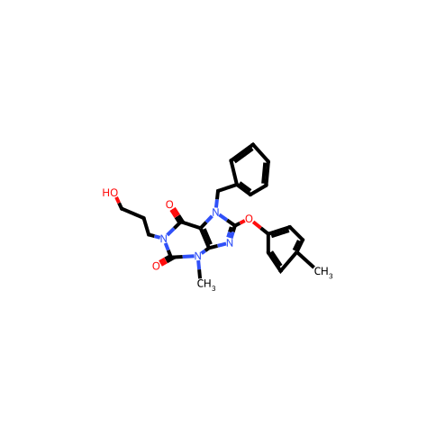 Cc1ccc(Oc2nc3c(c(=O)n(CCCO)c(=O)n3C)n2Cc2ccccc2)cc1